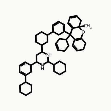 CC12CC=CC=C1C(C1=CC=CC(C3CCCC(C4CC(C5C=CC=C(C6CCCCC6)C5)NC(C5CCCCC5)N4)C3)C1)(C1CC=CCC1)C1=C(CCC=C1)O2